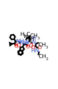 C=CCNC(=O)C(=O)C(CC)NC(=O)[C@@H]1[C@@H]2[C@H](CN1C(=O)[C@@H](NC(=O)N[C@H](C(=O)C1CC1)C1CCCCC1)C1Cc3ccccc3C1)C2(C)C